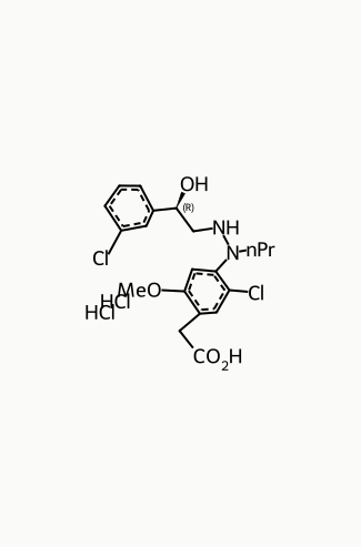 CCCN(NC[C@H](O)c1cccc(Cl)c1)c1cc(OC)c(CC(=O)O)cc1Cl.Cl.Cl